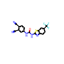 N#Cc1ccc(NC(=O)Nc2nc3ccc(C(F)(F)F)cc3s2)cc1C#N